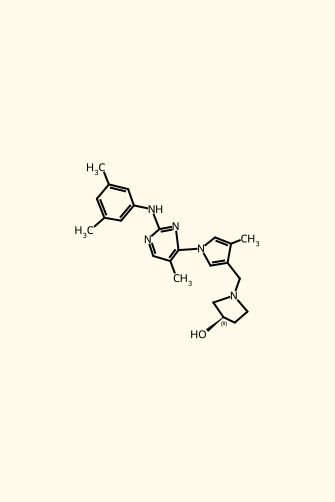 Cc1cc(C)cc(Nc2ncc(C)c(-n3cc(C)c(CN4CC[C@@H](O)C4)c3)n2)c1